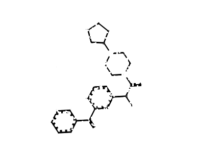 CC(C(=O)N1CCN(C2CCCC2)CC1)c1cccc(C(=O)c2ccccc2)c1.Cl